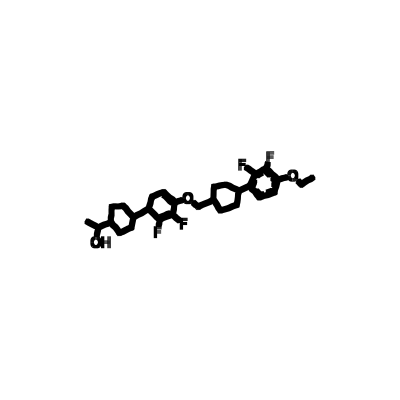 CCOc1ccc(C2CCC(COC3=CCC(C4CCC(C(C)O)CC4)C(F)=C3F)CC2)c(F)c1F